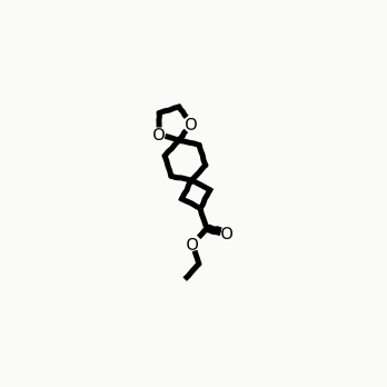 CCOC(=O)C1CC2(CCC3(CC2)OCCO3)C1